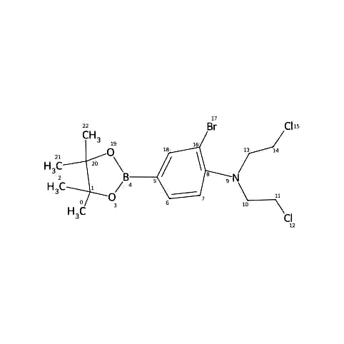 CC1(C)OB(c2ccc(N(CCCl)CCCl)c(Br)c2)OC1(C)C